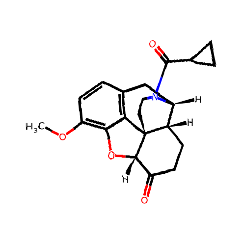 COc1ccc2c3c1O[C@H]1C(=O)CC[C@H]4[C@@H](C2)N(C(=O)C2CC2)CC[C@]314